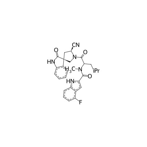 CC(C)CC(C(=O)N1C[C@]2(C[C@H]1C#N)C(=O)Nc1ccccc12)N(C)C(=O)c1cc2c(F)cccc2[nH]1